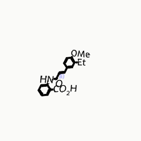 CCc1cc(/C=C/C(=O)Nc2ccccc2C(=O)O)ccc1OC